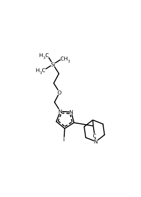 C[Si](C)(C)CCOCn1cc(I)c(C2CN3CCC2CC3)n1